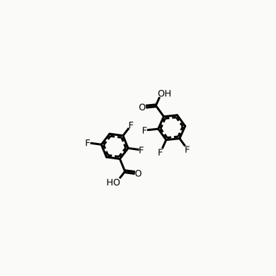 O=C(O)c1cc(F)cc(F)c1F.O=C(O)c1ccc(F)c(F)c1F